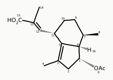 CC(=O)O[C@@H]1CC(C)=C2[C@H]1[C@H](C)CC[C@H]2/C=C(\C)C(=O)O